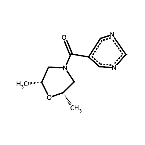 C[C@@H]1CN(C(=O)c2cn[c]nc2)C[C@H](C)O1